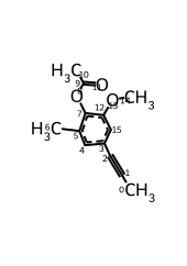 CC#Cc1cc(C)c(OC(C)=O)c(OC)c1